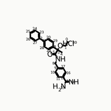 CCOC(C)(C(=O)NCc1ccc(C(=N)N)cc1)c1ccc(-c2ccccc2)cc1.Cl